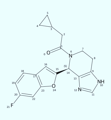 O=C(CC1CC1)N1CCc2[nH]cnc2[C@H]1c1cc2ccc(F)cc2o1